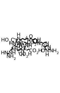 C[C@H](CCC(=O)N[C@@H](CC(=O)O)C(=O)N[C@@H](CCCNC(=N)N)C(=O)N[C@@H](CC(=O)O)C(=O)N[C@@H](CCC(=O)O)C(=O)N[C@@H](CS)C(=O)O)NC(=O)c1ccc(NCc2cnc3nc(N)[nH]c(=O)c3n2)cc1